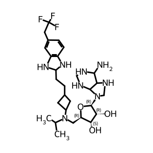 CC(C)N(C[C@H]1O[C@@H](N2CNC3C(N)NCNC32)[C@H](O)[C@@H]1O)C1CC(CCC2Nc3ccc(CC(F)(F)F)cc3N2)C1